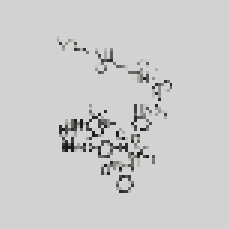 C=NOCCCNC(=O)CCCCC(=O)N[C@H](C)C(=O)N[C@H](C)C(=O)Nc1ccc(OC(=O)N2c3cc(ONN(C)/C(=C\C)C(=O)Nc4cn(C)cn4)c(OC)cc3C(=O)N3c4ccccc4C[C@H]3C2S(=O)(=O)O)cc1